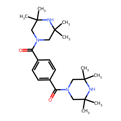 CC1(C)CN(C(=O)c2ccc(C(=O)N3CC(C)(C)NC(C)(C)C3)cc2)CC(C)(C)N1